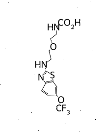 O=C(O)NCCOCCNc1nc2ccc(OC(F)(F)F)cc2s1